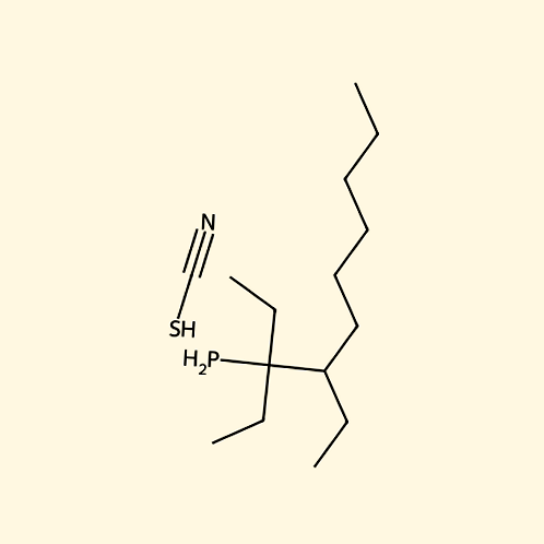 CCCCCCC(CC)C(P)(CC)CC.N#CS